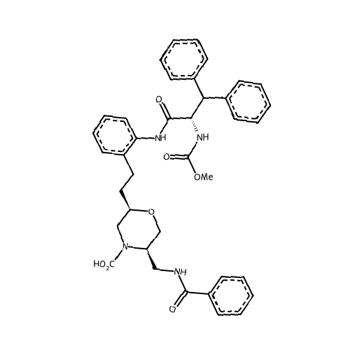 COC(=O)N[C@H](C(=O)Nc1ccccc1CC[C@@H]1CN(C(=O)O)[C@H](CNC(=O)c2ccccc2)CO1)C(c1ccccc1)c1ccccc1